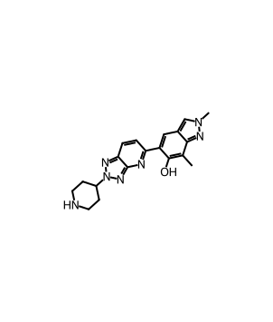 Cc1c(O)c(-c2ccc3nn(C4CCNCC4)nc3n2)cc2cn(C)nc12